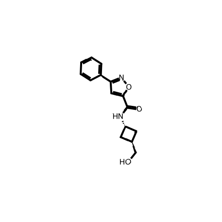 O=C(N[C@H]1C[C@H](CO)C1)c1cc(-c2ccccc2)no1